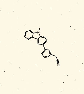 Cn1c2ccccc2c2cc(-c3cccc(CC#N)c3)ccc21